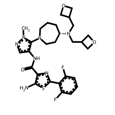 Cn1ncc(NC(=O)c2nc(-c3c(F)cccc3F)sc2N)c1N1CCC[C@H](N(CC2COC2)CC2COC2)CC1